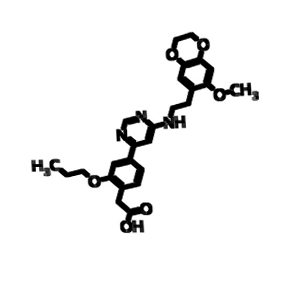 CCCOc1cc(-c2cc(NCCc3cc4c(cc3OC)OCCO4)ncn2)ccc1CC(=O)O